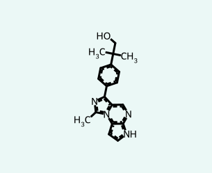 Cc1nc(-c2ccc(C(C)(C)CO)cc2)c2cnc3[nH]ccc3n12